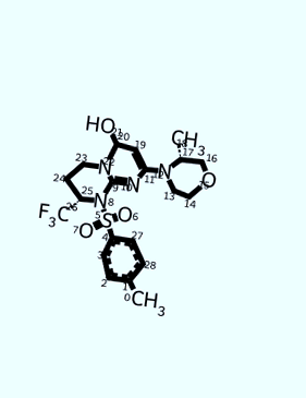 Cc1ccc(S(=O)(=O)N2C3=NC(N4CCOC[C@H]4C)=CC(O)N3CC[C@H]2C(F)(F)F)cc1